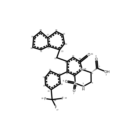 O=C(O)[C@@H]1CNS(=O)(=O)c2c(-c3cccc(C(F)(F)F)c3)c(Cc3cccc4ccccc34)cc(=O)n21